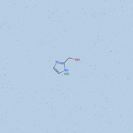 Cl.OCc1ncc[nH]1